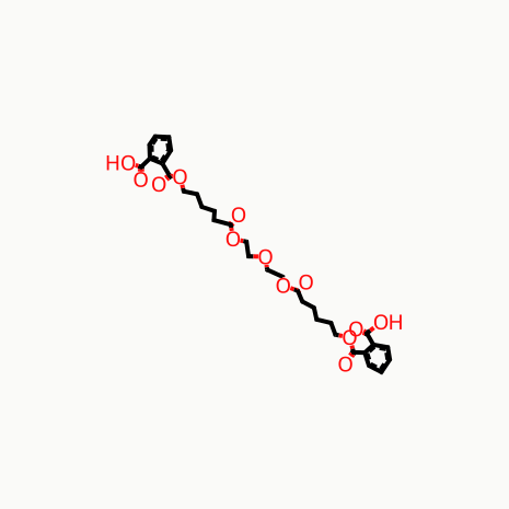 O=C(CCCCCOC(=O)c1ccccc1C(=O)O)OCCOCCOC(=O)CCCCCOC(=O)c1ccccc1C(=O)O